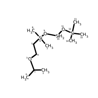 CC(C)OCC[Si](C)(C)O[SiH2]O[Si](C)(C)C